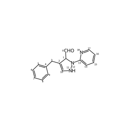 O=CC1C(Cc2ccccc2)=CNN1c1ccccn1